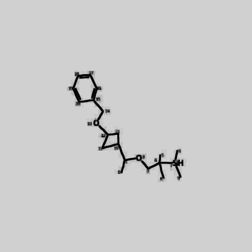 CC(OCC(C)(C)[SiH](C)C)C1CC(OCc2ccccc2)C1